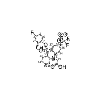 Cc1cc(F)ccc1OC(=O)c1c2ccccc2[n+](CC(=O)O)c2ccccc12.O=S(=O)([O-])C(F)(F)F